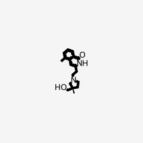 Cc1cccc2c(=O)[nH]c(CCN3CC[C@](C)(CO)C3)cc12